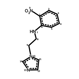 O=[N+]([O-])c1ccccc1NCCn1ccnc1